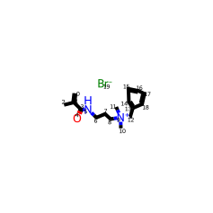 C=C(C)C(=O)NCCC[N+](C)(C)Cc1ccccc1.[Br-]